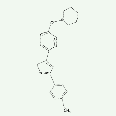 Cc1ccc(C2=NCC(c3ccc(ON4CCCCC4)cc3)=C2)cc1